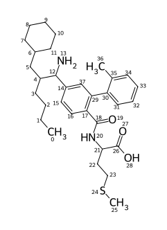 CCCCC(CC1CCCCC1)C(N)c1ccc(C(=O)NC(CCSC)C(=O)O)c(-c2ccccc2C)c1